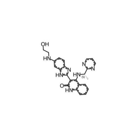 C[C@H](Nc1c(-c2nc3ccc(NCCO)cc3[nH]2)c(=O)[nH]c2ccccc12)c1ncccn1